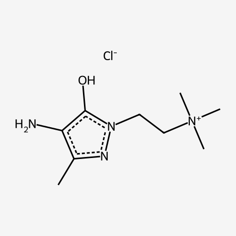 Cc1nn(CC[N+](C)(C)C)c(O)c1N.[Cl-]